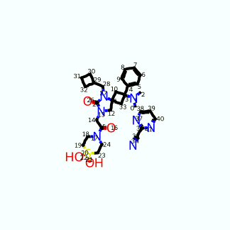 CN(C)C1(c2ccccc2)CC2(CN(CC(=O)N3CCS(O)(O)CC3)C(=O)N2CC2CCC2)C1.N#Cc1ncccn1